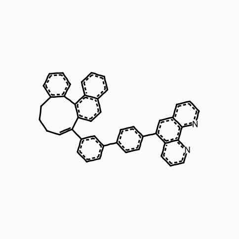 C1=C(/c2cccc(-c3ccc(-c4cc5cccnc5c5ncccc45)cc3)c2)c2ccc3ccccc3c2-c2ccccc2CCC/1